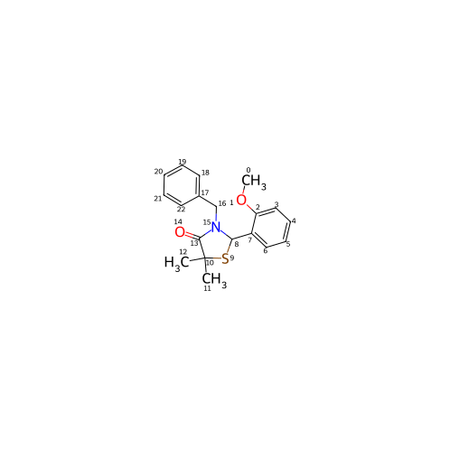 COc1ccccc1C1SC(C)(C)C(=O)N1Cc1ccccc1